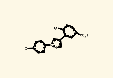 Cc1ccc(C(=O)O)cc1-c1cnn(-c2ccc(Cl)cc2)c1